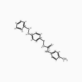 Cc1ccc(NC(=S)OCc2ccc(SSc3ccccn3)cc2)cc1